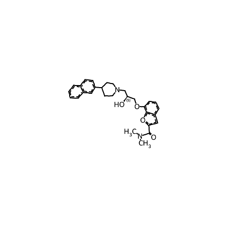 CN(C)C(=O)c1cc2cccc(OC[C@@H](O)CN3CCC(c4ccc5ccccc5c4)CC3)c2o1